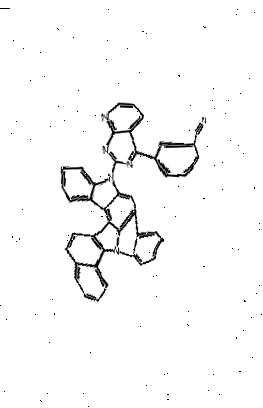 N#Cc1cccc(-c2nc(-n3c4ccccc4c4c5c6ccc7ccccc7c6n6c7ccccc7c(cc43)c56)nc3ncccc23)c1